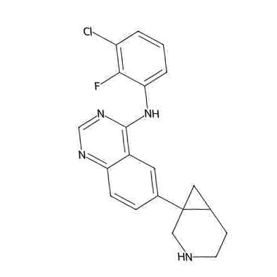 Fc1c(Cl)cccc1Nc1ncnc2ccc(C34CNCCC3C4)cc12